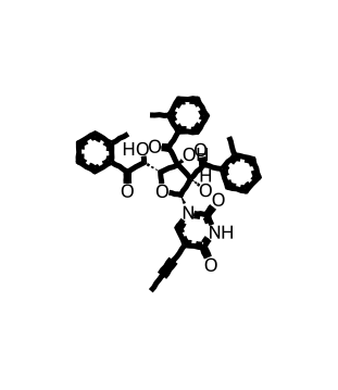 CC#Cc1cn([C@@H]2O[C@H](C(O)C(=O)c3ccccc3C)[C@](O)(C(=O)c3ccccc3C)[C@@]2(O)C(=O)c2ccccc2C)c(=O)[nH]c1=O